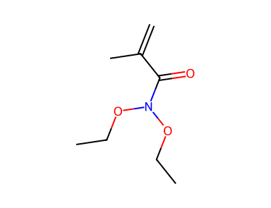 C=C(C)C(=O)N(OCC)OCC